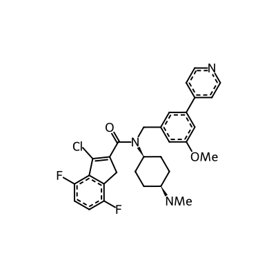 CN[C@H]1CC[C@@H](N(Cc2cc(OC)cc(-c3ccncc3)c2)C(=O)C2=C(Cl)c3c(F)ccc(F)c3C2)CC1